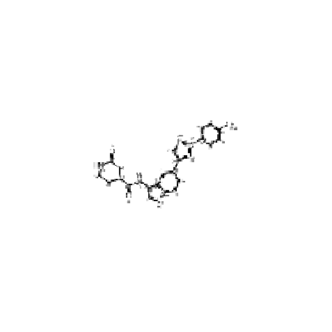 O=C1CC(C(=O)Nc2c[nH]c3ccc(-c4cnn(-c5ccc(C(F)(F)F)cc5)c4)cc23)CCN1